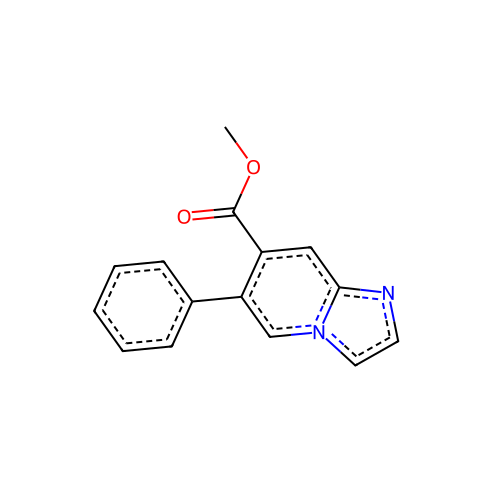 COC(=O)c1cc2nccn2cc1-c1ccccc1